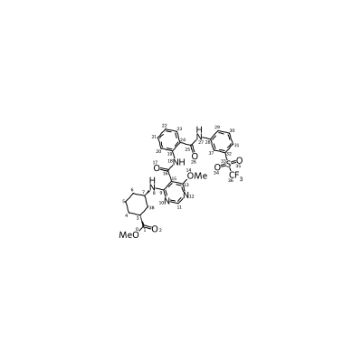 COC(=O)[C@H]1CCC[C@@H](Nc2ncnc(OC)c2C(=O)Nc2ccccc2C(=O)Nc2cccc(S(=O)(=O)C(F)(F)F)c2)C1